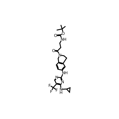 CC(C)(C)OC(=O)NCCC(=O)N1CCc2cc(Nc3ncc(C(F)(F)F)c(NC4CC4)n3)ccc2C1